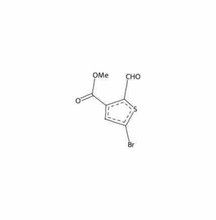 COC(=O)c1cc(Br)sc1C=O